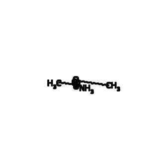 CCCCCCCCCCCCCCCCCC(=O)OS(=O)(=O)CCCCCCCCC.N